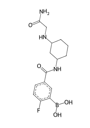 NC(=O)CNC1CCCC(NC(=O)c2ccc(F)c(B(O)O)c2)C1